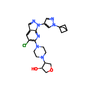 OC1COCC1N1CCN(c2nc3c(cnn3-c3cnn(C45CC(C4)C5)c3)cc2Cl)CC1